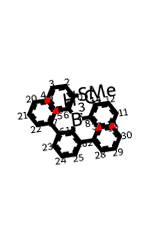 CSc1ccccc1B(c1ccccc1C)c1c(-c2ccccc2)cccc1-c1ccccc1